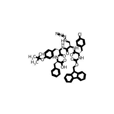 CC(C)(C)Oc1ccc(C[C@H](NC(=O)[C@@H](CNN=[N+]=[N-])NC(=O)[C@H](Cc2ccc(Cl)cc2)NC(=O)OCC2c3ccccc3-c3ccccc32)C(=O)N[C@H](Cc2ccccc2)C(=O)O)cc1